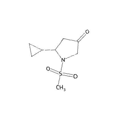 CS(=O)(=O)N1CC(=O)CC1C1CC1